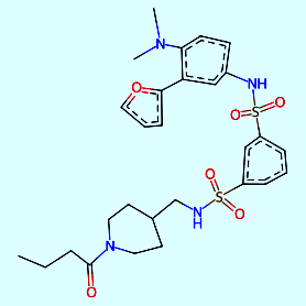 CCCC(=O)N1CCC(CNS(=O)(=O)c2cccc(S(=O)(=O)Nc3ccc(N(C)C)c(-c4ccco4)c3)c2)CC1